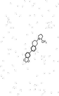 CC1CCCN1C1CCc2cc(-c3ccc4c(c3)OCO4)ccc2C1